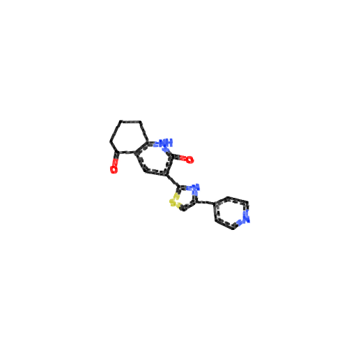 O=C1CCCc2[nH]c(=O)c(-c3nc(-c4ccncc4)cs3)cc21